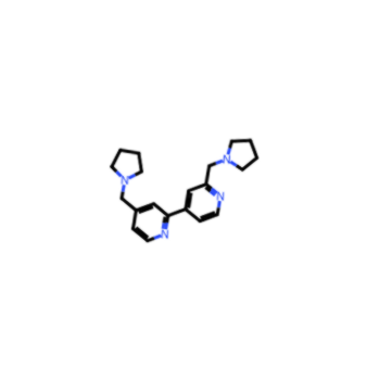 c1cc(-c2cc(CN3CCCC3)ccn2)cc(CN2CCCC2)n1